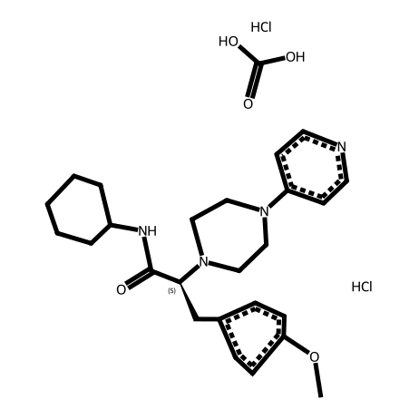 COc1ccc(C[C@@H](C(=O)NC2CCCCC2)N2CCN(c3ccncc3)CC2)cc1.Cl.Cl.O=C(O)O